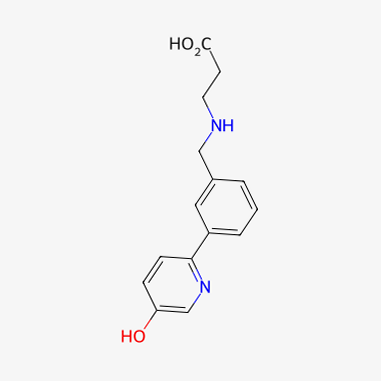 O=C(O)CCNCc1cccc(-c2ccc(O)cn2)c1